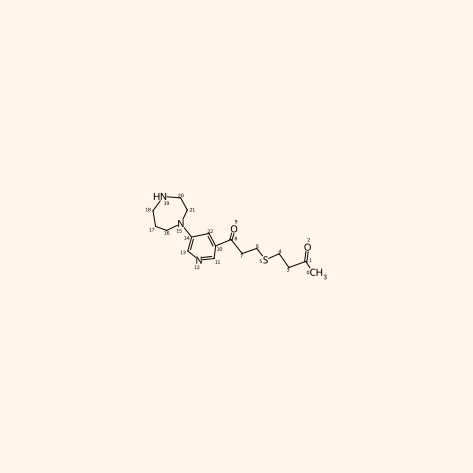 CC(=O)CCSCCC(=O)c1cncc(N2CCCNCC2)c1